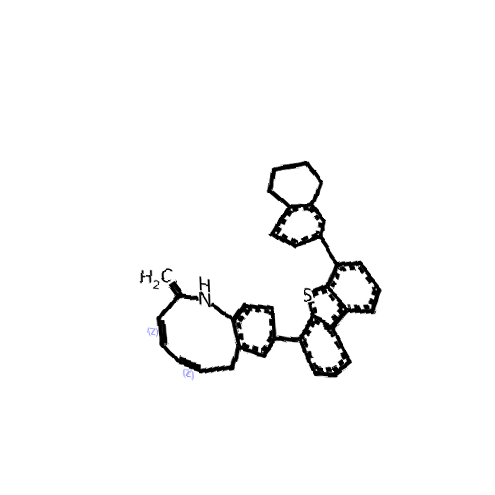 C=C1/C=C\C=C/Cc2cc(-c3cccc4c3sc3c(-c5ccc6c(c5)CCCC6)cccc34)ccc2N1